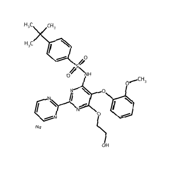 COc1ccccc1Oc1c(NS(=O)(=O)c2ccc(C(C)(C)C)cc2)nc(-c2ncccn2)nc1OCCO.[Na]